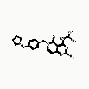 CCCC(CCC)Nc1nc(N)nc2ccn(Cc3ccc(CN4CCCC4)cc3)c(=O)c12